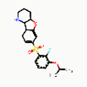 CC(C)Oc1cccc(S(=O)(=O)C2=CCC3C(=C2)OC2CCCNC23)c1F